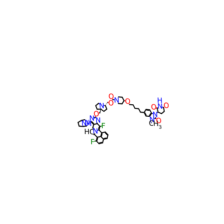 C#Cc1c(F)ccc2cccc(-c3ncc4c(N5CC6CCC(C5)N6)nc(OC[C@@]56CCCN5[C@H](COC(=O)N5CCC(OCCCCCc7ccc8c(c7)n(C)c(=O)n8C7CCC(=O)NC7=O)CC5)CC6)nc4c3F)c12